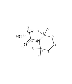 CC1(C)CCCC(C)(C)N1C(=O)O.Cl